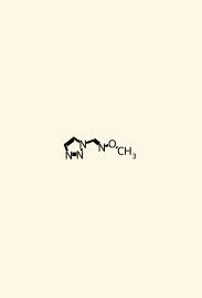 CO/N=C/n1ccnn1